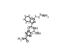 CC(C)(C)C(NC(=O)c1nn(CCCN)c2ccccc12)c1nc(C(N)=O)no1